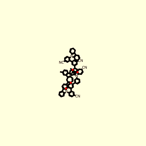 Cc1ccc2c(c1)c1c(n2C2=CC=CC(c3cc(C#N)cc(-c4cc(C#N)ccc4-n4c5c(c6c4CCC=C6)CCC=C5)c3)C2C)C=CC=C(c2ccc3c4ccccc4n(-c4ccc(C#N)cc4-c4cc(-c5cccc(-n6c7c(c8c6C=CC(C#N)C8)CCC=C7)c5)ccc4C#N)c3c2)C1